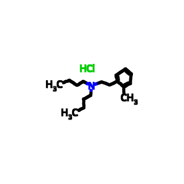 CCCCN(CCCC)CCc1ccccc1C.Cl